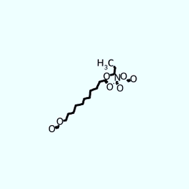 CCC(OC(=O)CCCCCCCCCCOC=O)N([C]=O)OC=O